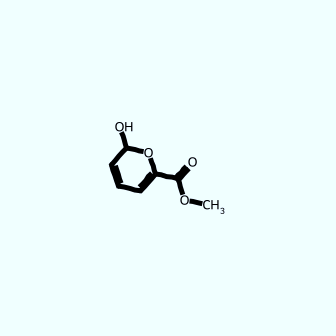 COC(=O)C1=CC=CC(O)O1